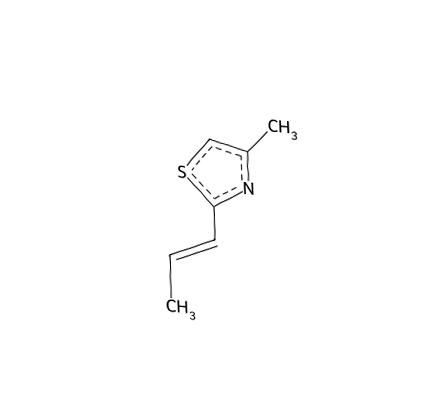 C/C=C/c1nc(C)cs1